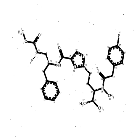 COC(=O)[C@@H](F)C[C@H](Cc1ccccc1)NC(=O)c1csc(CCC(C(C)C)N(C)C(=O)Cc2ccc(F)cc2)n1